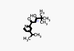 CC(C)c1ccnc(C(=O)/C=C(\O)C(C)(C)C)c1